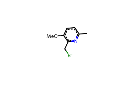 COc1ccc(C)nc1CBr